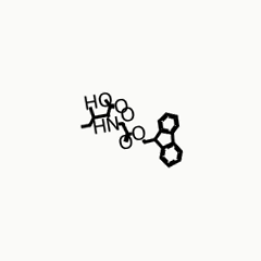 CCC(C)C(NC(=O)C(=O)OCC1c2ccccc2-c2ccccc21)C(=O)O